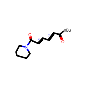 CCCCC(=O)/C=C/C=C/C(=O)N1CCCCC1